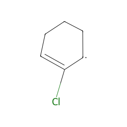 ClC1=CCCC[CH]1